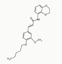 CCCCCOc1ccc(/C=C/C(=O)Nc2cccc3c2OCCO3)cc1OC